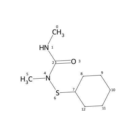 CNC(=O)N(C)SC1CCCCC1